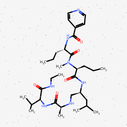 CCC[C@H](NC(=O)c1ccncc1)C(=O)N(C)[C@@H](CCC)C(=O)N[C@H](CN[C@@H](C)C(=O)N[C@H](C(=O)NCC)C(C)C)CC(C)C